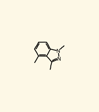 Cc1cccc2c1c(C)nn2C